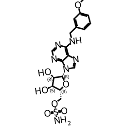 COc1cccc(CNc2ncnc3c2ncn3[C@@H]2O[C@H](COS(N)(=O)=O)[C@@H](O)[C@H]2O)c1